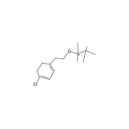 CC(C)(C)[Si](C)(C)OCCC1=CC=C(Cl)C[CH]1